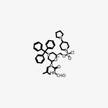 CC(C)=CN(C(=O)NC=O)C1CN(C(c2ccccc2)(c2ccccc2)c2ccccc2)C[C@@H](COP(=O)(Cl)N2CCC(N3CCCC3)CC2)O1